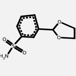 NS(=O)(=O)c1cccc(C2OCCO2)c1